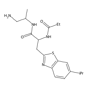 CCC(=O)NC(Cc1nc2ccc(C(C)C)cc2s1)C(=O)NC(C)CN